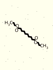 CCCOC(=O)CCCCCCCCC(=O)OCCC